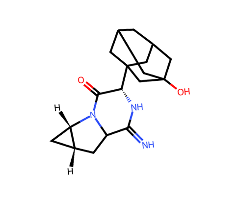 N=C1N[C@@H](C23CC4CC(CC(O)(C4)C2)C3)C(=O)N2C1C[C@@H]1C[C@@H]12